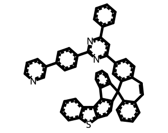 C1=Cc2ccc(-c3cc(-c4ccccc4)nc(-c4ccc(-c5cccnc5)cc4)n3)cc2C2(c3ccccc31)c1ccccc1-c1c2ccc2sc3ccccc3c12